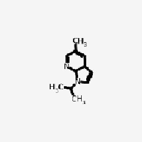 CC1=CC2C=CN(C(C)C)C2N=C1